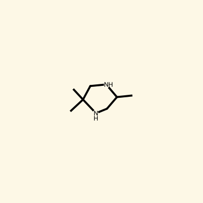 CC1CNC(C)(C)CN1